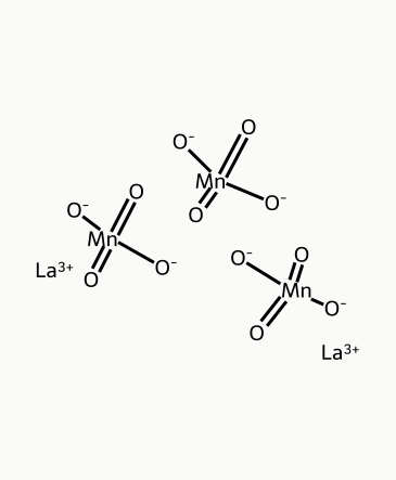 [La+3].[La+3].[O]=[Mn](=[O])([O-])[O-].[O]=[Mn](=[O])([O-])[O-].[O]=[Mn](=[O])([O-])[O-]